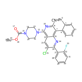 CC(C)c1ccccc1-c1c(C#N)nc(N2CCN(C(=O)OC(C)(C)C)CC2)c2cc(Cl)c(-c3ccccc3F)nc12